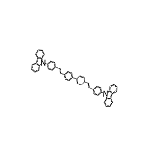 C1=CC(/C=C/c2ccc(-n3c4ccccc4c4ccccc43)cc2)CC=C1c1ccc(/C=C/c2ccc(-n3c4ccccc4c4ccccc43)cc2)cc1